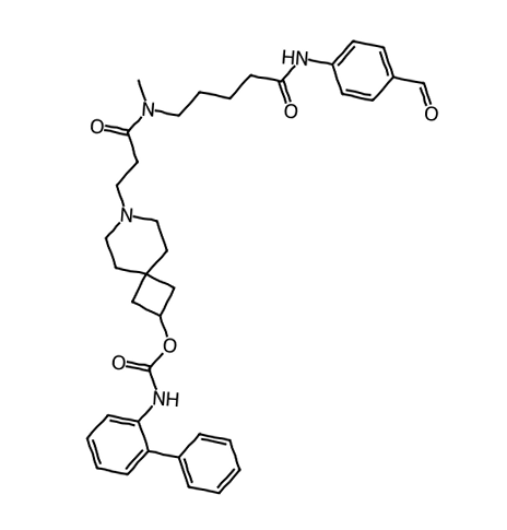 CN(CCCCC(=O)Nc1ccc(C=O)cc1)C(=O)CCN1CCC2(CC1)CC(OC(=O)Nc1ccccc1-c1ccccc1)C2